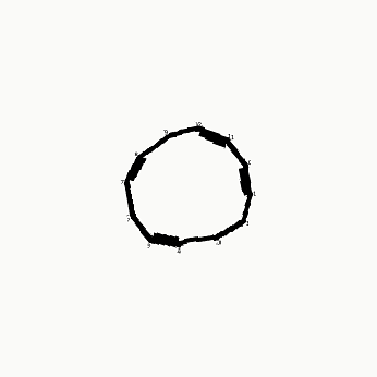 [C]1=CCCC=CCC=CCC=C1